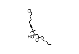 CCCCOC(=O)C[C@H](O)C(C)(C)C#CCCCCCl